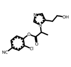 CC(C(=O)Oc1ccc(C#N)cc1Cl)n1cncc1CCO